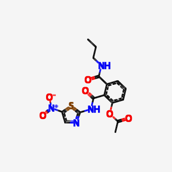 CCCNC(=O)c1cccc(OC(C)=O)c1C(=O)Nc1ncc([N+](=O)[O-])s1